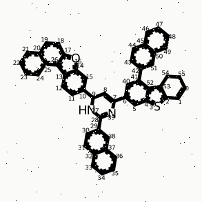 C1=Cc2sc3cc(C4=CC(c5ccc6c(c5)oc5ccc7ccccc7c56)NC(c5ccc6ccccc6c5)=N4)cc(-c4ccc5ccccc5c4)c3c2CC1